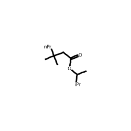 CCCC(C)(C)CC(=O)OC(C)C(C)C